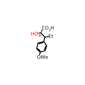 CCC(c1ccc(OC)cc1)[C@@H](O)C(=O)O